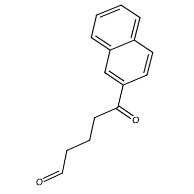 O=CCCCC(=O)c1ccc2ccccc2c1